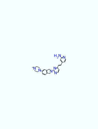 CN1CCN(c2ccc3c(c2)CN(c2nccc(/C=C/c4ccnc(N)c4)n2)C3)CC1